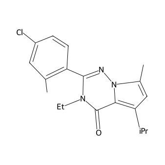 CCn1c(-c2ccc(Cl)cc2C)nn2c(C)cc(C(C)C)c2c1=O